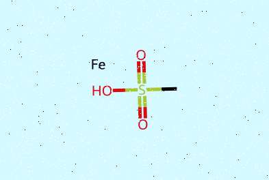 CS(=O)(=O)O.[Fe]